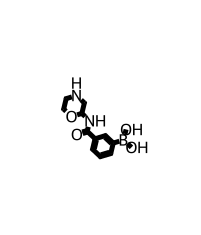 O=C(NC1CNCCO1)c1cccc(B(O)O)c1